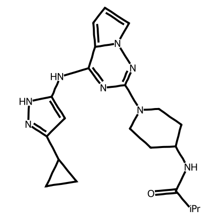 CC(C)C(=O)NC1CCN(c2nc(Nc3cc(C4CC4)n[nH]3)c3cccn3n2)CC1